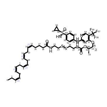 CC/C=C\C/C=C\C/C=C\C/C=C\C/C=C\CCCC(=O)NCCSSCCNC(=O)O[C@H](C)[C@@H](C)Oc1nc(Nc2ccc(S(=N)(=O)C3CC3)cc2)ncc1C(F)(F)F